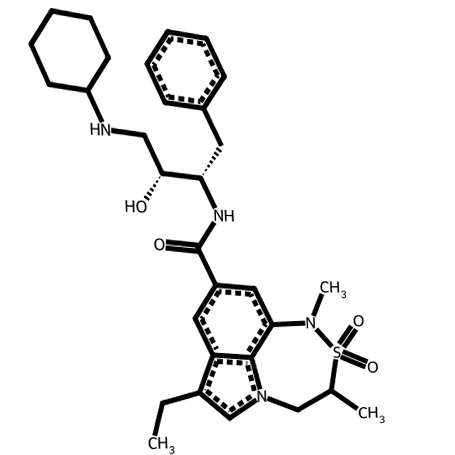 CCc1cn2c3c(cc(C(=O)N[C@@H](Cc4ccccc4)[C@H](O)CNC4CCCCC4)cc13)N(C)S(=O)(=O)C(C)C2